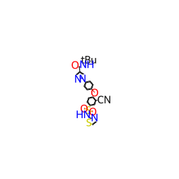 CC(C)(C)NC(=O)c1cnn(-c2ccc(Oc3ccc(S(=O)(=O)Nc4nccs4)cc3C#N)cc2)c1